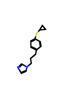 c1cn(CCCc2ccc(SC3CC3)cc2)cn1